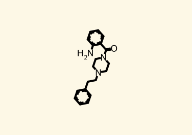 Nc1ccccc1C(=O)N1CCN(CCc2ccccc2)CC1